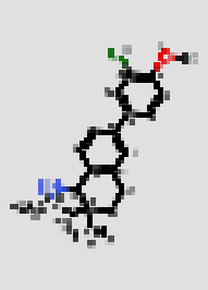 CCOc1ccc(-c2ccc3c(c2)CCC(C)(C)C3NC(=O)O)cc1Cl